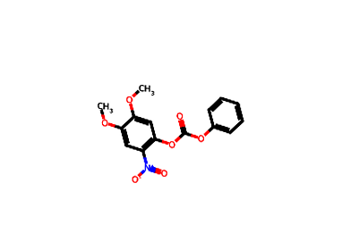 COc1cc(OC(=O)Oc2ccccc2)c([N+](=O)[O-])cc1OC